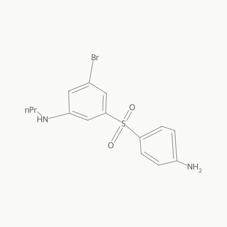 CCCNc1cc(Br)cc(S(=O)(=O)c2ccc(N)cc2)c1